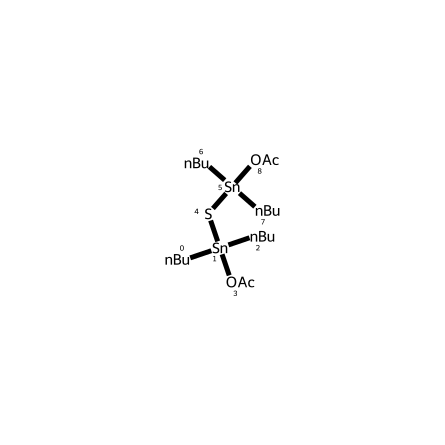 CCC[CH2][Sn]([CH2]CCC)([O]C(C)=O)[S][Sn]([CH2]CCC)([CH2]CCC)[O]C(C)=O